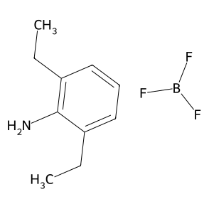 CCc1cccc(CC)c1N.FB(F)F